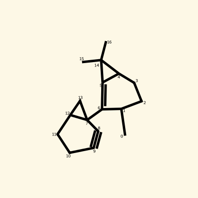 CC1CCC2C(=C1C13C#CCCC1C3)C2(C)C